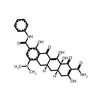 CN(C)c1cc(C(=O)Nc2ccccc2)c(O)c2c1C[C@H]1C[C@H]3CC(O)=C(C(N)=O)C(=O)[C@@]3(O)C(O)=C1C2=O